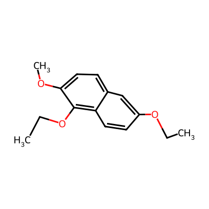 CCOc1ccc2c(OCC)c(OC)ccc2c1